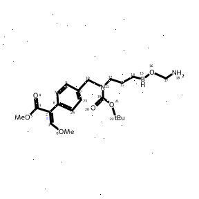 CO/C=C(/C(=O)OC)c1ccc(CN(CCCBOCN)C(=O)OC(C)(C)C)cc1